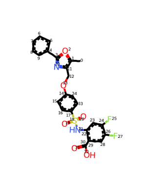 Cc1oc(-c2ccccc2)nc1COc1ccc(S(=O)(=O)Nc2cc(F)c(F)cc2C(=O)O)cc1